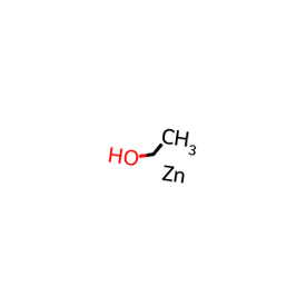 CCO.[Zn]